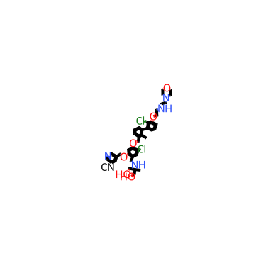 Cc1c(COc2cc(OCc3cncc(C#N)c3)c(CNC(C)(CO)CO)cc2Cl)cccc1-c1cccc(OCCNCCN2CCOCC2)c1Cl